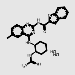 Cc1ccc2nc(NC(=O)c3cc4ccccc4o3)nc(N[C@H]3CCCC[C@H]3NC(=N)N)c2c1.Cl.Cl